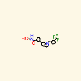 O=C(NCCO)c1cccc(-c2ccc3ccn(Cc4cccc(C(F)(F)F)c4)c3c2)c1